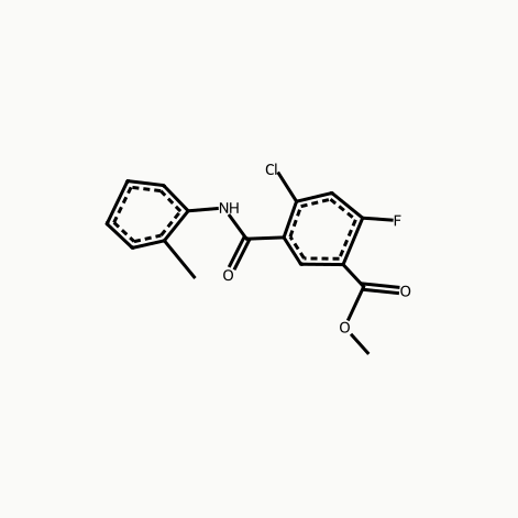 COC(=O)c1cc(C(=O)Nc2ccccc2C)c(Cl)cc1F